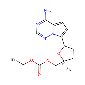 CCC(C)COC(=O)OC[C@]1(C#N)CCC(c2ccc3c(N)ncnn23)O1